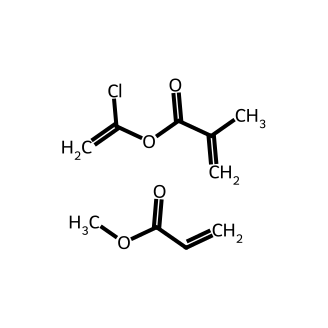 C=C(Cl)OC(=O)C(=C)C.C=CC(=O)OC